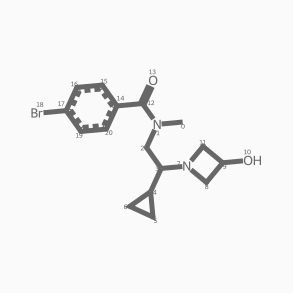 CN(CC(C1CC1)N1CC(O)C1)C(=O)c1ccc(Br)cc1